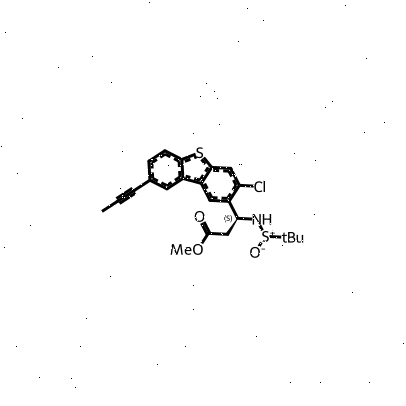 CC#Cc1ccc2sc3cc(Cl)c([C@H](CC(=O)OC)N[S+]([O-])C(C)(C)C)cc3c2c1